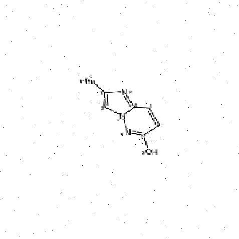 CCCCc1cn2nc(O)ccc2n1